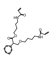 C=CC(=O)NCCCCOCC(C(=O)OCCCCNC(=O)C=C)c1ccccc1